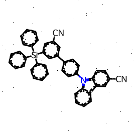 N#Cc1cc(-c2ccc(-n3c4ccccc4c4cc(C#N)ccc43)cc2)cc([Si](c2ccccc2)(c2ccccc2)c2ccccc2)c1